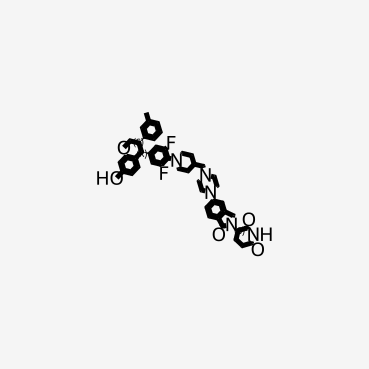 Cc1cccc([C@H]2COc3cc(O)ccc3[C@H]2c2cc(F)c(N3CCC(CN4CCN(c5ccc6c(c5)CN([C@H]5CCC(=O)NC5=O)C6=O)CC4)CC3)c(F)c2)c1